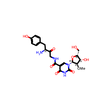 CO[C@@H]1[C@@H](O)[C@@H](CO)O[C@H]1n1cc(C(=O)NCC(=O)[C@@H](N)Cc2ccc(O)cc2)c(=O)[nH]c1=O